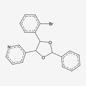 Brc1ccccc1C1OC(c2ccccc2)OC1c1cccnc1